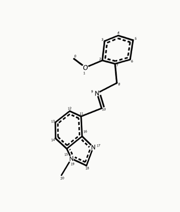 COc1ccccc1C/N=C/c1cccc2c1ncn2C